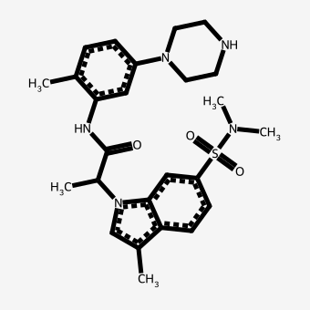 Cc1ccc(N2CCNCC2)cc1NC(=O)C(C)n1cc(C)c2ccc(S(=O)(=O)N(C)C)cc21